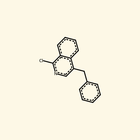 Clc1ncc(Cc2ccccc2)c2ccccc12